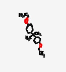 CCOC1CCC(C(C)(C)C2CCC(OCC)CC2)CC1